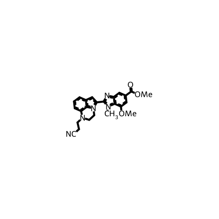 COC(=O)c1cc(OC)c2c(c1)nc(-c1cc3cccc4c3n1CCN4CCC#N)n2C